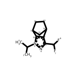 CC(C)n1nc(C(F)F)c2c1C1CCC2C1